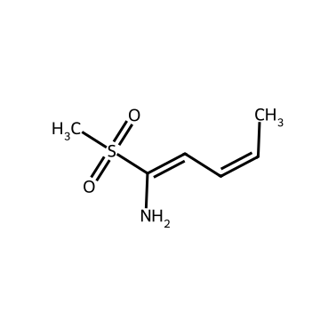 C/C=C\C=C(/N)S(C)(=O)=O